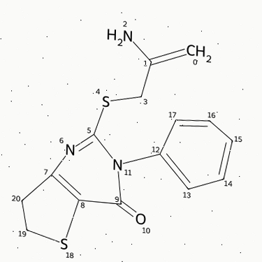 C=C(N)CSc1nc2c(c(=O)n1-c1ccccc1)SCC2